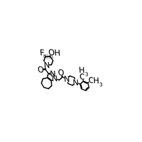 Cc1cccc(N2CCN(C(=O)Cn3nc(C(=O)N4CC[C@H](O)[C@@H](F)C4)c4c3CCCCC4)CC2)c1C